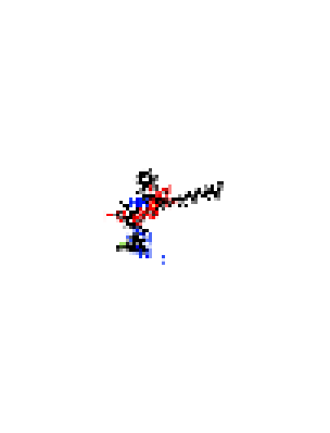 C#C[C@]1(COP(=O)(N[C@@H](Cc2ccccc2)C(=O)O)OCC(=O)OCCCCCCCCC)O[C@@H](n2cnc3c(N)nc(F)nc32)C[C@@H]1O